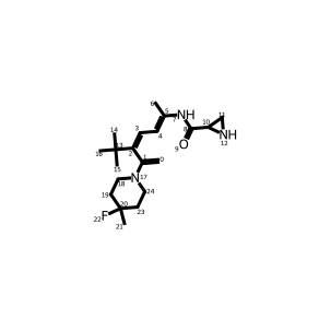 C=C(/C(=C\C=C(/C)NC(=O)C1CN1)C(C)(C)C)N1CCC(C)(F)CC1